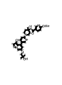 COc1ccc(C(=O)NC2(C)CCN(c3ccc(-c4cc(OCC(C)(C)O)cn5ncc(C#N)c45)cn3)CC2)cn1